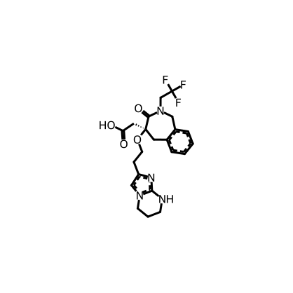 O=C(O)C[C@@]1(OCCc2cn3c(n2)NCCC3)Cc2ccccc2CN(CC(F)(F)F)C1=O